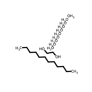 CCCCCCCCCCCC.O.O.O.O.O.O.O.O.O.O.OCCO